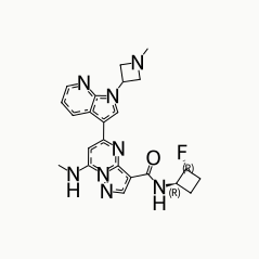 CNc1cc(-c2cn(C3CN(C)C3)c3ncccc23)nc2c(C(=O)N[C@@H]3CC[C@H]3F)cnn12